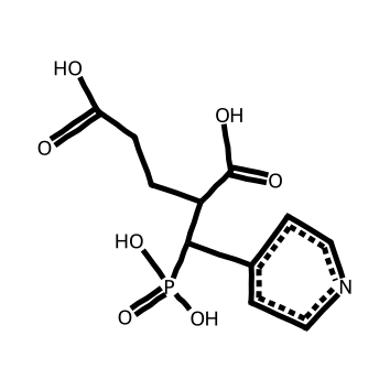 O=C(O)CCC(C(=O)O)C(c1ccncc1)P(=O)(O)O